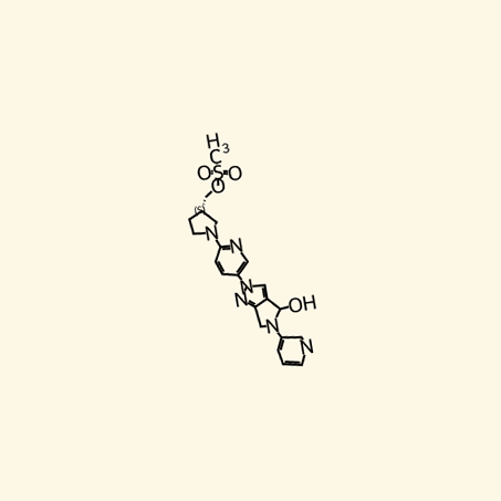 CS(=O)(=O)OC[C@H]1CCN(c2ccc(-n3cc4c(n3)CN(c3cccnc3)C4O)cn2)C1